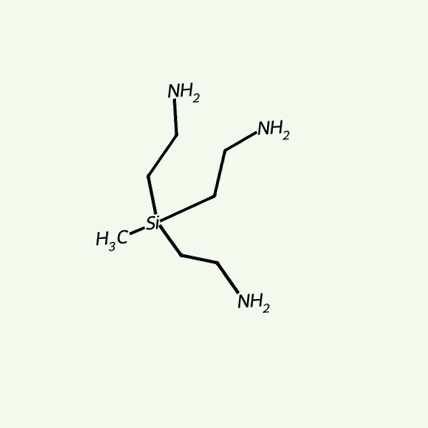 C[Si](CCN)(CCN)CCN